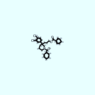 O=C(OCCCC1(c2ccc(Cl)c(Cl)c2)CCCN(C(=O)c2ccccc2)C1)c1ccccc1